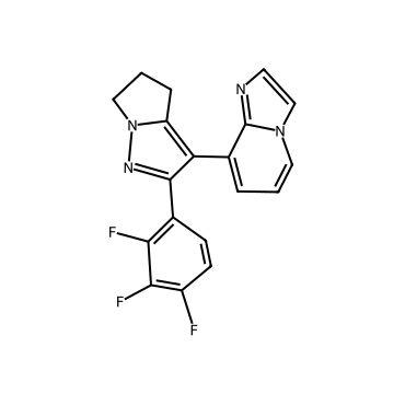 Fc1ccc(-c2nn3c(c2-c2cccn4ccnc24)CCC3)c(F)c1F